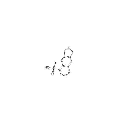 O=S(=O)(O)c1cccc2cc3c(cc12)CSC3